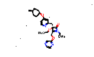 C=C1CCC(Oc2ccnc(C[C@]3(OCOC)C(=O)N(COC)[C@H]3COc3cnccn3)c2)CC1